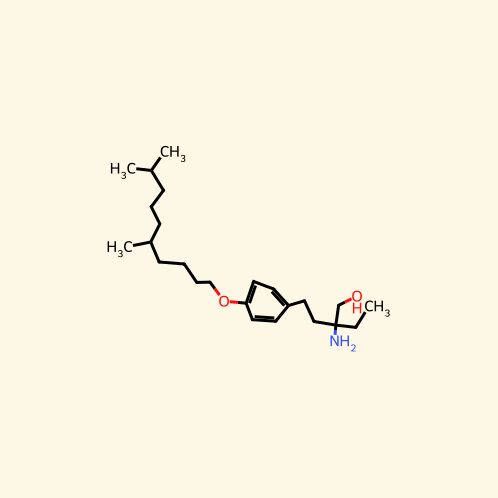 CCC(N)(CO)CCc1ccc(OCCCCC(C)CCCC(C)C)cc1